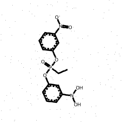 CCP(=O)(Oc1cccc(N(O)O)c1)Oc1cccc([N+](=O)[O-])c1